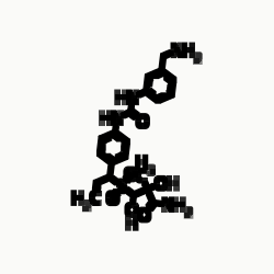 C=CC(c1ccc(NC(=O)Nc2cccc(CN)c2)cc1)S(=O)(=O)C(O)C(C)(O)C(N)=O